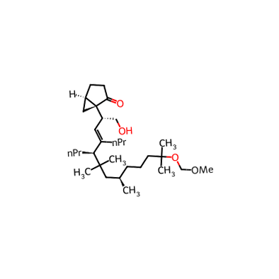 CCC/C(=C\[C@@H](CO)[C@]12C[C@H]1CCC2=O)[C@H](CCC)C(C)(C)C[C@H](C)CCCC(C)(C)OCOC